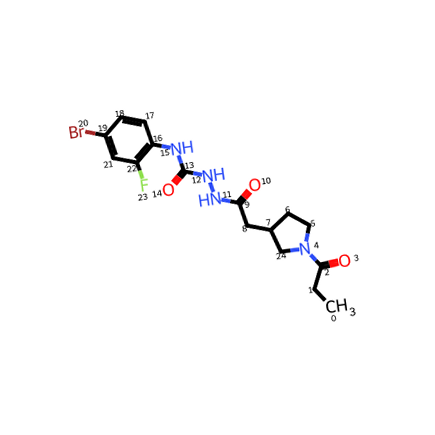 CCC(=O)N1CCC(CC(=O)NNC(=O)Nc2ccc(Br)cc2F)C1